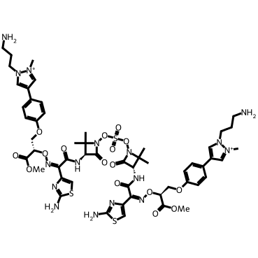 COC(=O)[C@H](COc1ccc(-c2cn(CCCN)[n+](C)c2)cc1)O/N=C(\C(=O)N[C@@H]1C(=O)N(OS(=O)(=O)ON2C(=O)[C@@H](NC(=O)/C(=N\O[C@@H](COc3ccc(-c4cn(CCCN)[n+](C)c4)cc3)C(=O)OC)c3csc(N)n3)C2(C)C)C1(C)C)c1csc(N)n1